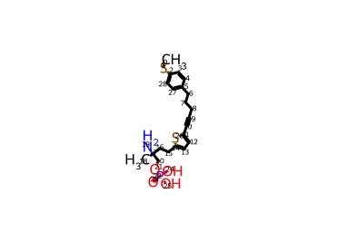 CSc1ccc(CCCC#Cc2ccc(CCC(C)(N)COP(=O)(O)O)s2)cc1